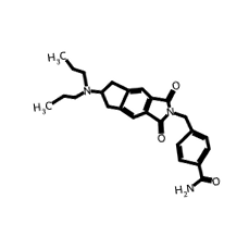 CCCN(CCC)C1Cc2cc3c(cc2C1)C(=O)N(Cc1ccc(C(N)=O)cc1)C3=O